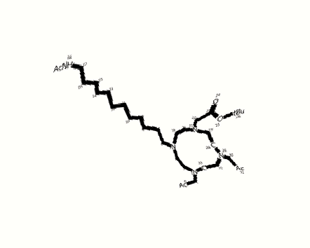 CC(=O)CN1CCN(CCCCCCCCCCCCNC(C)=O)CCN(CC(=O)OC(C)(C)C)CCN(CC(C)=O)CC1